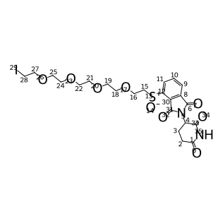 O=C1CCC(N2C(=O)c3cccc([S+]([O-])CCOCCOCCOCCOCCI)c3C2=O)C(=O)N1